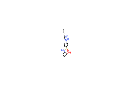 CCCCc1cn(-c2ccc([S+]([O-])Nc3ccccc3O)cc2)nn1